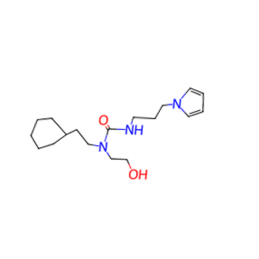 O=C(NCCCn1cccc1)N(CCO)CCC1CCCCC1